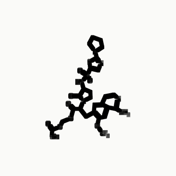 CC(C)(C)C(=O)OCOC(=O)C(Cc1cc2ccnc(N)c2cc1OC(F)(F)F)N1CCC(NS(=O)(=O)c2cnc(N3CCCC3)s2)C1=O